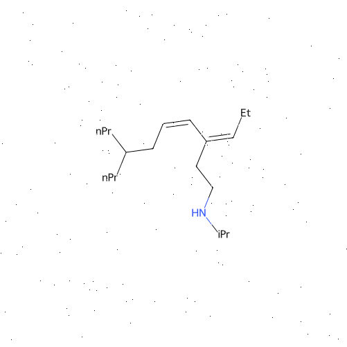 CC/C=C(\C=C/CC(CCC)CCC)CCNC(C)C